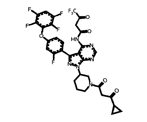 O=C(CC(=O)C(F)(F)F)Nc1ncnc2c1c(-c1ccc(Oc3c(F)c(F)cc(F)c3F)cc1F)nn2C1CCCN(C(=O)CC(=O)C2CC2)C1